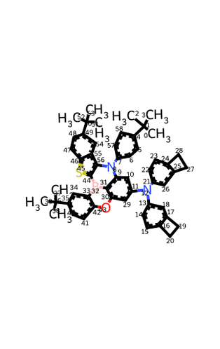 CC(C)(C)c1ccc(N2c3cc(N(c4ccc5c(c4)CC5)c4ccc5c(c4)CC5)cc4c3B(c3cc(C(C)(C)C)ccc3O4)c3sc4ccc(C(C)(C)C)cc4c32)cc1